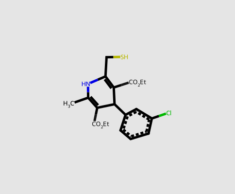 CCOC(=O)C1=C(C)NC(CS)=C(C(=O)OCC)C1c1cccc(Cl)c1